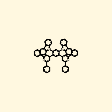 c1ccc(-c2cc(-c3cc(-c4cc(-c5ccccc5)nc(-c5ccccc5)c4)c(-n4c5ccccc5c5ccccc54)cc3-n3c4ccccc4c4ccccc43)cc(-c3ccccc3)n2)cc1